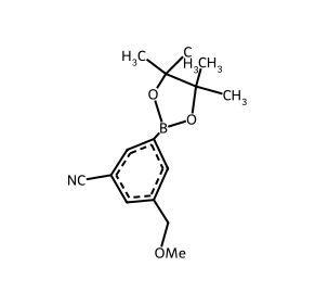 COCc1cc(C#N)cc(B2OC(C)(C)C(C)(C)O2)c1